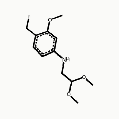 COc1cc(NCC(OC)OC)ccc1CF